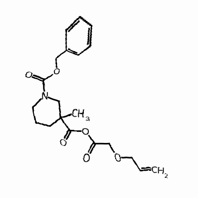 C=CCOCC(=O)OC(=O)C1(C)CCCN(C(=O)OCc2ccccc2)C1